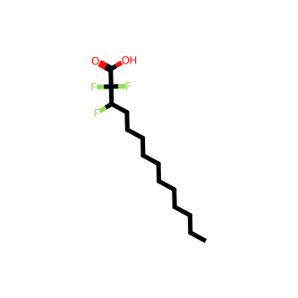 CCCCCCCCCCCC(F)C(F)(F)C(=O)O